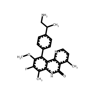 COc1c(F)c(C)c2[nH]c(=O)c3c(C)ccnc3c2c1-c1ccc(C(C)CN)cc1